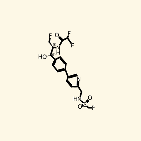 O=C(N[C@H](CF)[C@@H](O)c1ccc(-c2ccc(CNS(=O)(=O)CF)nc2)cc1)C(F)F